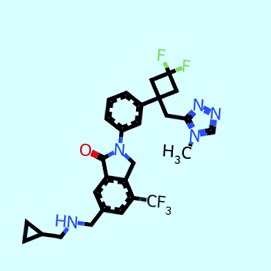 Cn1cnnc1CC1(c2cccc(N3Cc4c(cc(CNCC5CC5)cc4C(F)(F)F)C3=O)c2)CC(F)(F)C1